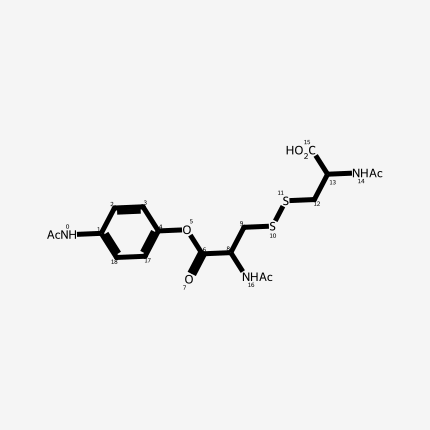 CC(=O)Nc1ccc(OC(=O)C(CSSCC(NC(C)=O)C(=O)O)NC(C)=O)cc1